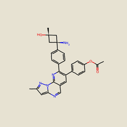 CC(=O)Oc1ccc(-c2cc3cnc4cc(C)nn4c3nc2-c2ccc([C@]3(N)C[C@](C)(O)C3)cc2)cc1